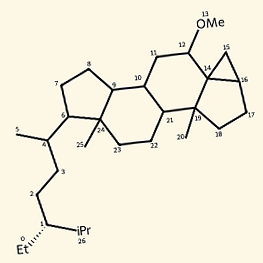 CC[C@H](CCC(C)C1CCC2C3CC(OC)C45CC4CCC5(C)C3CCC12C)C(C)C